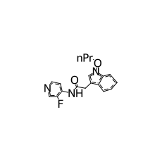 CCCOn1cc(CC(=O)Nc2ccncc2F)c2ccccc21